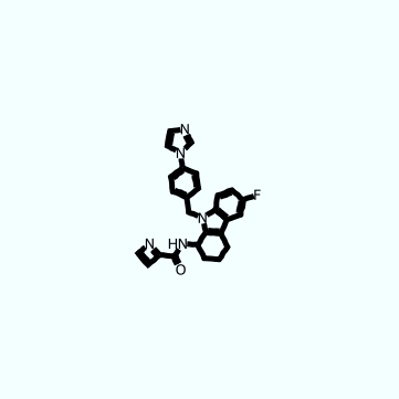 O=C(NC1CCCc2c1n(Cc1ccc(-n3ccnc3)cc1)c1ccc(F)cc21)C1=NC=C1